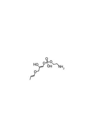 C/C=C/OC/C(O)=C/OP(=O)(O)OCCN